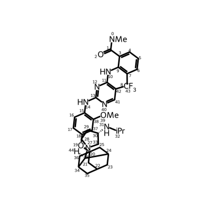 CNC(=O)c1cccc(C)c1Nc1nc(Nc2ccc(O[C@]34CC5CC(C3)[C@H](N3CC[C@H](NC(C)C)C3)C(C5)C4)cc2OC)ncc1C(F)(F)F